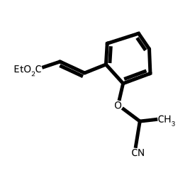 CCOC(=O)C=Cc1ccccc1OC(C)C#N